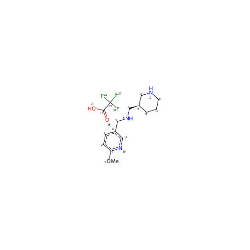 COc1ccc(CNC[C@@H]2CCCNC2)cn1.O=C(O)C(F)(F)F